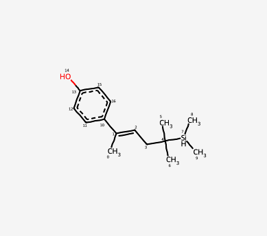 CC(=CCC(C)(C)[SiH](C)C)c1ccc(O)cc1